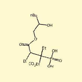 CCCCC(O)COC(=O)C(CC)C(CC)(C(=O)OCC)P(=O)(O)O